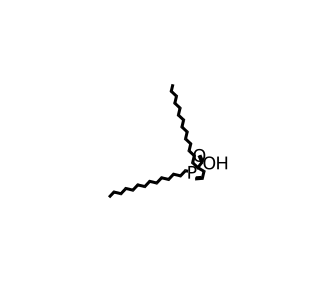 CCCCCCCCCCCCCCP1C=CCC1(CCCCCCCCCCCCCC)C(=O)O